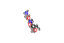 CC1(C)c2cc(C3(c4ccccc4)c4ccccc4Oc4ccccc43)ccc2-c2cccc(-c3cccc4c3Oc3ccccc3C4(c3ccccc3)n3c4ccccc4c4cc(-c5cccc6c5Oc5ccccc5C6(c5ccccc5)c5ccc6c(c5)c5ccccc5n6-c5ccccc5)ccc43)c21